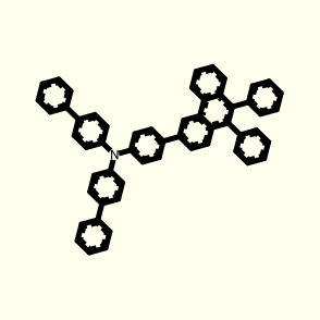 c1ccc(-c2ccc(N(c3ccc(-c4ccccc4)cc3)c3ccc(-c4ccc5c(-c6ccccc6)c(-c6ccccc6)c6ccccc6c5c4)cc3)cc2)cc1